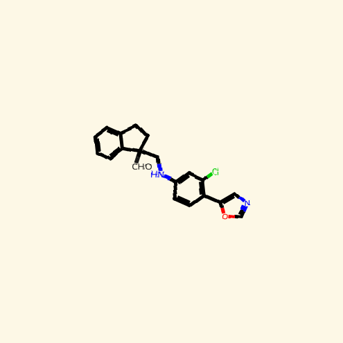 O=CC1(CNc2ccc(-c3cnco3)c(Cl)c2)CCc2ccccc21